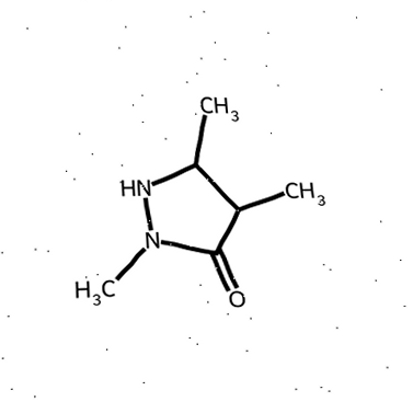 CC1NN(C)C(=O)C1C